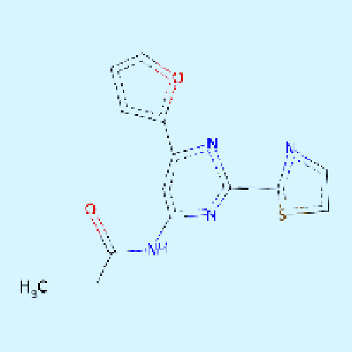 CCC(=O)Nc1cc(-c2ccco2)nc(-c2nccs2)n1